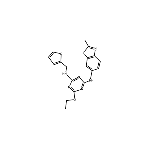 CCOc1nc(NCc2ccco2)nc(Nc2ccc3nc(C)sc3c2)n1